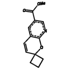 COC(=O)c1cnc2c(c1)C=CC1(CCC1)O2